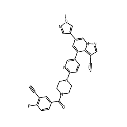 C#Cc1cc(C(=O)N2CCN(c3ccc(-c4cc(-c5cnn(C)c5)cn5ncc(C#N)c45)cn3)CC2)ccc1F